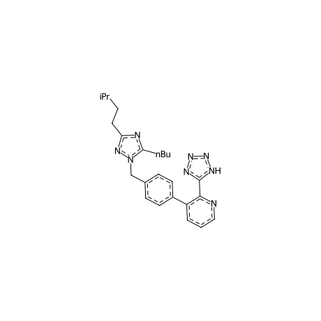 CCCCc1nc(CCC(C)C)nn1Cc1ccc(-c2cccnc2-c2nnn[nH]2)cc1